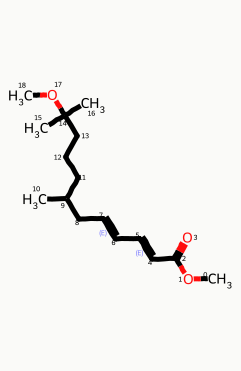 COC(=O)/C=C/C=C/CC(C)CCCC(C)(C)OC